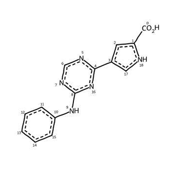 O=C(O)c1cc(-c2ncnc(Nc3ccccc3)n2)c[nH]1